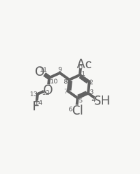 CC(=O)c1cc(S)c(Cl)cc1CC(=O)OCF